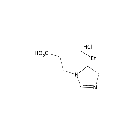 CCC.Cl.O=C(O)CCN1C=NCC1